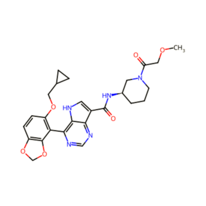 COCC(=O)N1CCC[C@@H](NC(=O)c2c[nH]c3c(-c4c(OCC5CC5)ccc5c4OCO5)ncnc23)C1